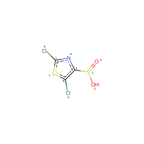 O=S(O)c1nc(Cl)sc1Cl